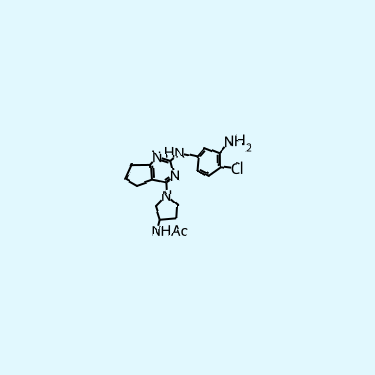 CC(=O)NC1CCN(c2nc(Nc3ccc(Cl)c(N)c3)nc3c2CCC3)C1